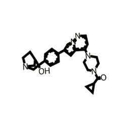 O=C(C1CC1)N1CCN(c2ccnn3cc(-c4ccc(C5(O)CN6CCC5C6)cc4)cc23)CC1